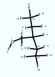 FOC(F)(F)C(F)(C(F)(F)C(F)(F)F)C(F)(F)C(F)(F)F